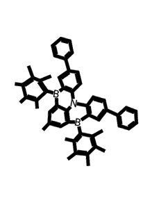 Cc1cc2c3c(c1)B(c1c(C)c(C)c(C)c(C)c1C)c1cc(-c4ccccc4)ccc1N3c1ccc(-c3ccccc3)cc1B2c1c(C)c(C)c(C)c(C)c1C